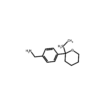 C[SiH2]C1(c2ccc(CN)cc2)CCCCO1